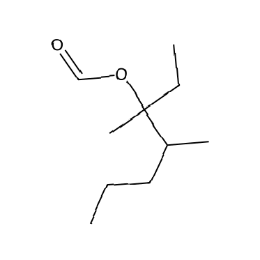 CCCC(C)C(C)(CC)OC=O